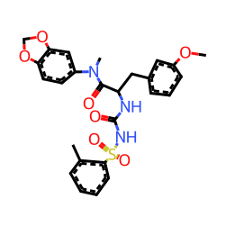 COc1cccc(CC(NC(=O)NS(=O)(=O)c2ccccc2C)C(=O)N(C)c2ccc3c(c2)OCO3)c1